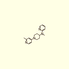 Cc1cc(N2CCC(N(C)c3ccccn3)CC2)ccn1